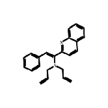 C=CCN(CC=C)C(=Cc1ccccc1)c1ccc2ccccc2n1